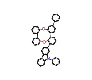 c1ccc(-c2ccc3c(c2)Oc2ccccc2-c2ccccc2Oc2c(-c4ccc5c6ccccc6n(-c6ccccc6)c5c4)cccc2-3)cc1